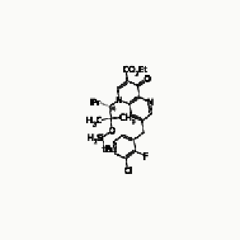 CCOC(=O)c1cn([C@@H](C(C)C)C(C)(C)O[SiH2]C(C)(C)C)c2cc(Cc3cccc(Cl)c3F)cnc2c1=O